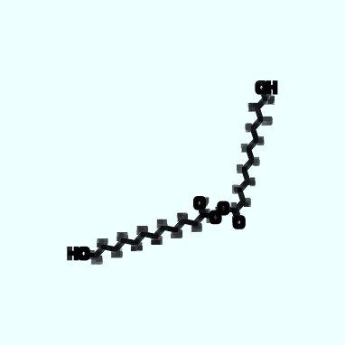 O=C(CCCCCCCCCCCO)OOC(=O)CCCCCCCCCCCO